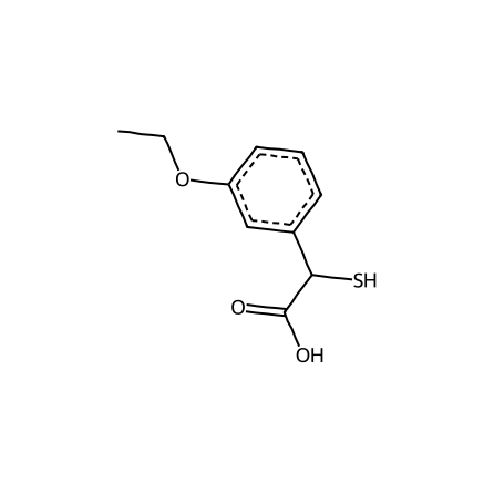 CCOc1cccc(C(S)C(=O)O)c1